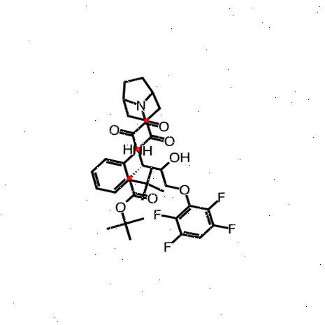 CC(C)(C)OC(=O)C[C@H](NC(=O)C1CC2CCC(C1)N2C(=O)C(=O)Nc1ccccc1C(C)(C)C)C(O)COc1c(F)c(F)cc(F)c1F